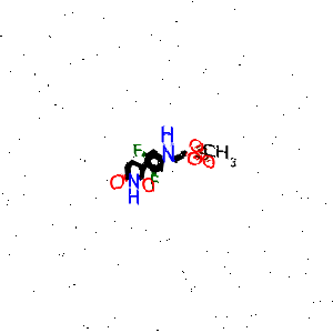 CS(=O)(=O)OCCNc1cc(F)c(C2CCC(=O)NC2=O)c(F)c1